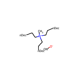 CCCCCCCCCCCC[N+](C)(CCCCCCCCCCCC)CCCCCCCCCCCC.O=N[O-]